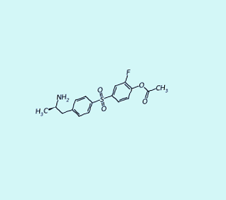 CC(=O)Oc1ccc(S(=O)(=O)c2ccc(C[C@@H](C)N)cc2)cc1F